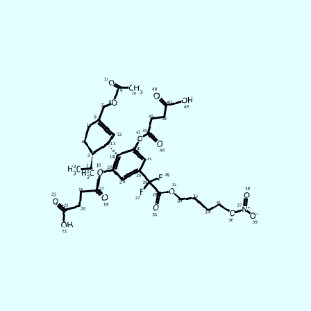 C=C(C)[C@H]1CCC(COC(C)=O)=C[C@@H]1c1c(OC(=O)CCC(=O)O)cc(C(F)(F)C(=O)OCCCCO[N+](=O)[O-])cc1OC(=O)CCC(=O)O